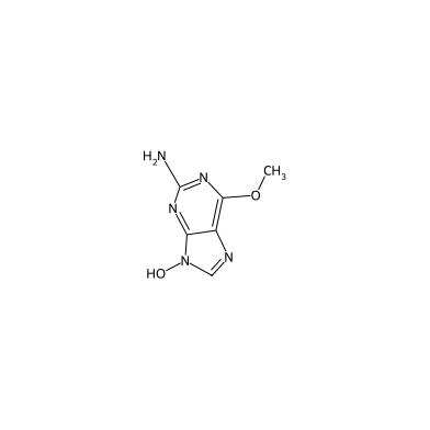 COc1nc(N)nc2c1ncn2O